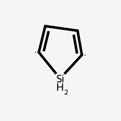 [C]1=CC=[C][SiH2]1